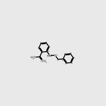 C=C(C)c1ccccc1NSCc1ccccc1